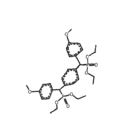 CCOP(=O)(OCC)C(c1ccc(OC)cc1)c1ccc(C(c2ccc(OC)cc2)P(=O)(OCC)OCC)cc1